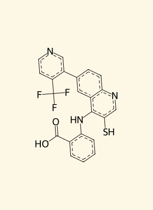 O=C(O)c1ccccc1Nc1c(S)cnc2ccc(-c3cnccc3C(F)(F)F)cc12